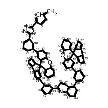 C=C/C=C\C(=C/C)c1nnc(-c2cccc(-c3ccc4c(c3)C3(c5ccccc5O4)c4ccccc4-c4ccc(-c5cccc(-c6ccc7c(-c8cccc(-c9ccc%10c(c9)C9(c%11ccccc%11O%10)c%10ccccc%10-c%10ccccc%109)c8)cccc7n6)c5)cc43)c2)s1